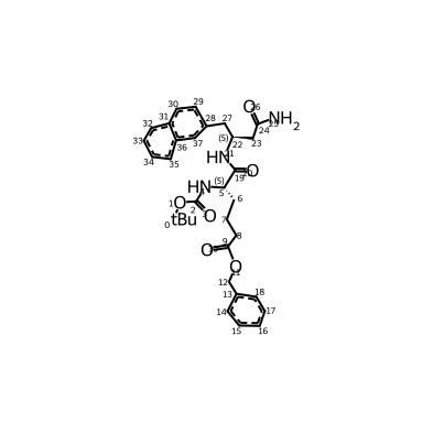 CC(C)(C)OC(=O)N[C@@H](CCCC(=O)OCc1ccccc1)C(=O)N[C@H](CC(N)=O)Cc1ccc2ccccc2c1